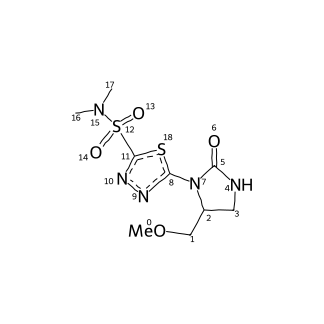 COCC1CNC(=O)N1c1nnc(S(=O)(=O)N(C)C)s1